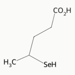 CC([SeH])CCC(=O)O